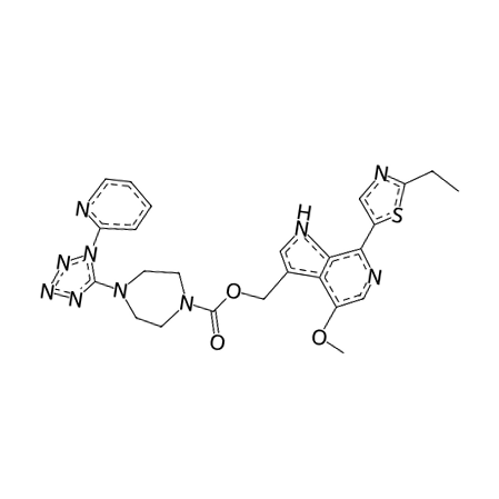 CCc1ncc(-c2ncc(OC)c3c(COC(=O)N4CCN(c5nnnn5-c5ccccn5)CC4)c[nH]c23)s1